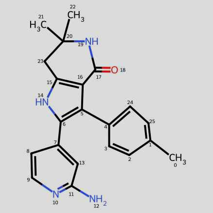 Cc1ccc(-c2c(-c3ccnc(N)c3)[nH]c3c2C(=O)NC(C)(C)C3)cc1